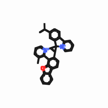 Cc1ccc[n+]2c1-c1c(ccc3c1oc1ccccc13)C1C2C12c1cc(C(C)C)ccc1-c1cccc[n+]12